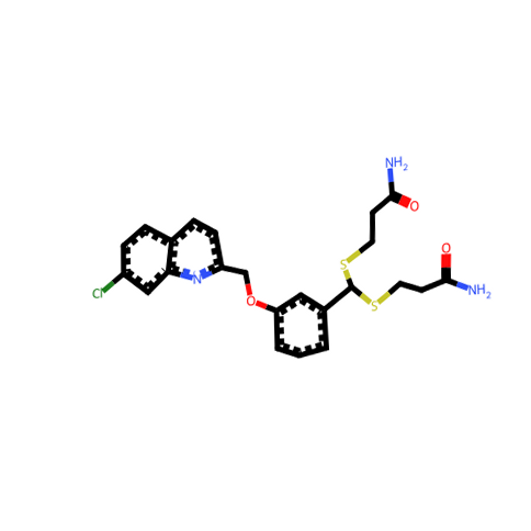 NC(=O)CCSC(SCCC(N)=O)c1cccc(OCc2ccc3ccc(Cl)cc3n2)c1